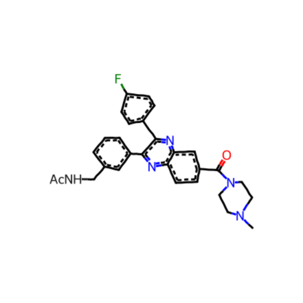 CC(=O)NCc1cccc(-c2nc3ccc(C(=O)N4CCN(C)CC4)cc3nc2-c2ccc(F)cc2)c1